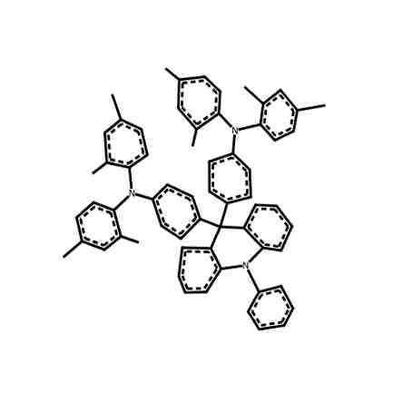 Cc1ccc(N(c2ccc(C3(c4ccc(N(c5ccc(C)cc5C)c5ccc(C)cc5C)cc4)c4ccccc4N(c4ccccc4)c4ccccc43)cc2)c2ccc(C)cc2C)c(C)c1